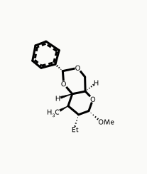 CC[C@H]1[C@@H](OC)O[C@@H]2CO[C@@H](c3ccccc3)O[C@H]2[C@@H]1C